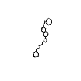 c1ccc(CCCCCOc2ccc3cc(CN4CCCCCC4)ccc3c2)cc1